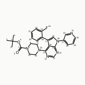 CC(C)(C)OC(=O)N1CCN(c2ncnc3c2c(-c2ccccc2F)cn3-c2cccnc2)CC1